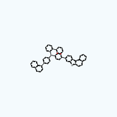 c1ccc(-c2ccccc2N(c2ccc(-c3ccc4c(c3)oc3ccc5ccccc5c34)cc2)c2ccc(-c3cccc4ccccc34)cc2)cc1